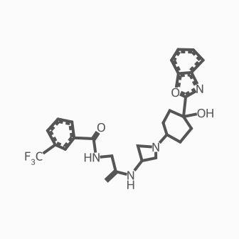 C=C(CNC(=O)c1cccc(C(F)(F)F)c1)NC1CN(C2CCC(O)(c3nc4ccccc4o3)CC2)C1